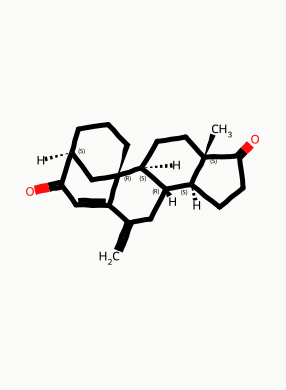 C=C1C[C@@H]2[C@H](CC[C@]3(C)C(=O)CC[C@@H]23)[C@@]23CCC[C@@H](C2)C(=O)C=C13